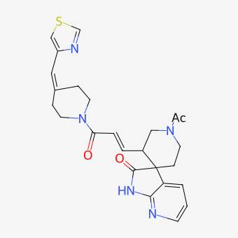 CC(=O)N1CCC2(C(=O)Nc3ncccc32)C(C=CC(=O)N2CCC(=Cc3cscn3)CC2)C1